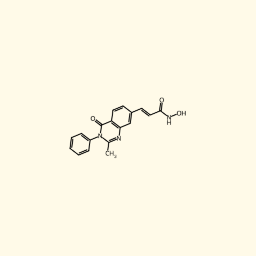 Cc1nc2cc(C=CC(=O)NO)ccc2c(=O)n1-c1ccccc1